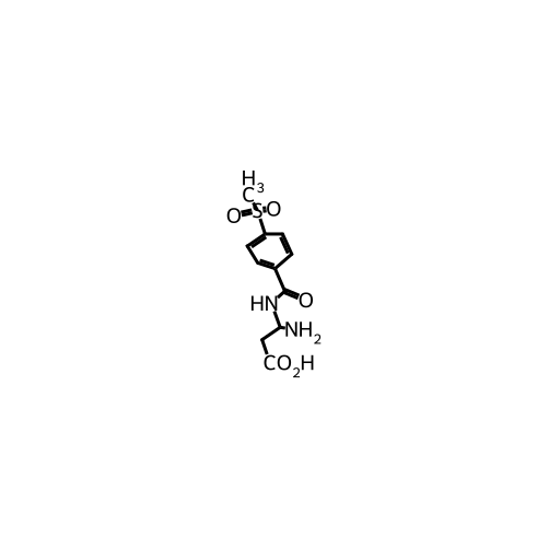 CS(=O)(=O)c1ccc(C(=O)NC(N)CC(=O)O)cc1